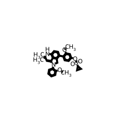 COc1cc(OS(=O)(=O)C2CC2)ccc1-c1ccc2c3c1CN(c1ccccc1OC)C3=CC(C)(C)N2